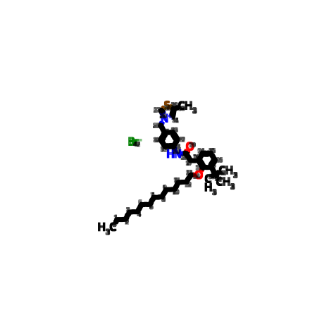 CCCCCCCCCCCCCCOc1c(CC(=O)Nc2ccc(C[n+]3csc(C)c3)cc2)cccc1C(C)(C)C.[Br-]